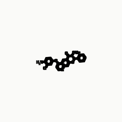 CON1C(=O)c2cc3c(Oc4ccc(N)c(Cl)c4)ccnc3cc2OC1c1ccccc1